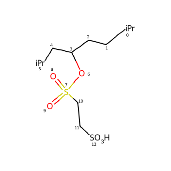 CC(C)CCC(CC(C)C)OS(=O)(=O)CCS(=O)(=O)O